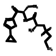 CCCC(F)(F)C[C@H](N)C(=O)N[C@@H](CC)C(=O)c1nnc(C2CC2)o1